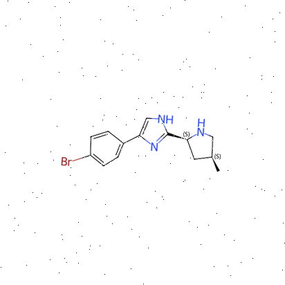 C[C@@H]1CN[C@H](c2nc(-c3ccc(Br)cc3)c[nH]2)C1